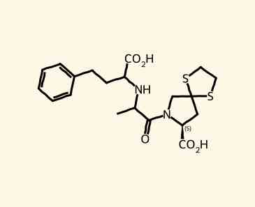 CC(NC(CCc1ccccc1)C(=O)O)C(=O)N1CC2(C[C@H]1C(=O)O)SCCS2